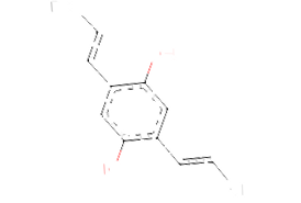 Oc1cc(/C=C/C(F)(F)F)c(O)cc1/C=C/C(F)(F)F